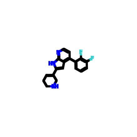 Fc1cccc(-c2ccnc3[nH]c(C4=CCCNC4)cc23)c1F